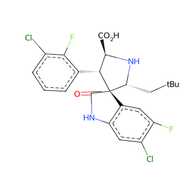 CC(C)(C)C[C@H]1N[C@H](C(=O)O)[C@@H](c2cccc(Cl)c2F)[C@@]12C(=O)Nc1cc(Cl)c(F)cc12